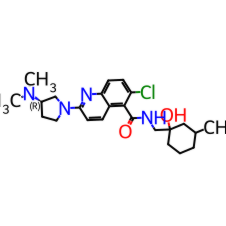 CC1CCCC(O)(CNC(=O)c2c(Cl)ccc3nc(N4CC[C@@H](N(C)C)C4)ccc23)C1